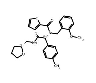 COc1ccccc1CN(C(=O)c1ccco1)[C@@H](C(=O)NC[C@H]1CCCO1)c1ccc(C)cc1